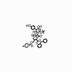 CN1CCN(C(=O)OCC2=C(C(=O)OC(c3ccccc3)c3ccccc3)N3C(=O)C(N(NC(C(=O)O)c4ccc(O)cc4)C(=O)OC(C)(C)C)[C@@H]3[S+]([O-])C2)CC1